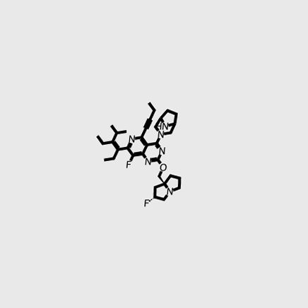 CCC#Cc1nc(/C(CC)=C(/CC)C(C)C)c(F)c2nc(OC[C@@]34CCCN3C[C@H](F)C4)nc(N3CC4CCC(C3)N4)c12